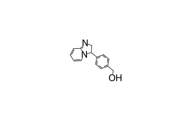 OCc1ccc(C2CN=C3C=CC=CN32)cc1